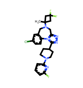 CC1(N2Cc3cc(Cl)ccc3-n3c(nnc3C3CCN(c4cccc(F)n4)CC3)C2)CC(F)(F)C1